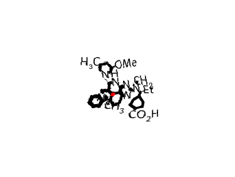 CC[C@H](C1CCC(C(=O)O)CC1)N(C)c1nc2c(c(N[C@@H](CN3C[C@H](C)C[C@@H](OC)C3)c3cnn(C)c3)n1)C[C@H](c1ccccc1)CC2